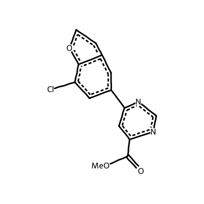 COC(=O)c1cc(-c2cc(Cl)c3occc3c2)ncn1